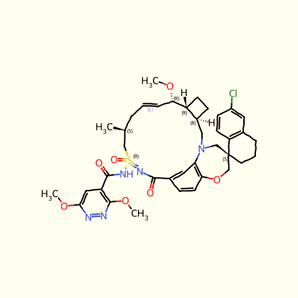 COc1cc(C(=O)N[S@@]2(=O)=NC(=O)c3ccc4c(c3)N(C[C@@H]3CC[C@H]3[C@@H](OC)/C=C/C[C@H](C)C2)C[C@@]2(CCCc3cc(Cl)ccc32)CO4)c(OC)nn1